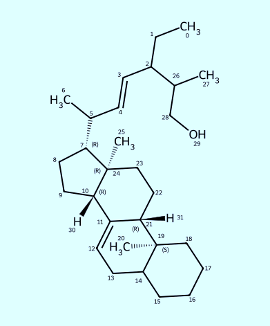 CCC(C=CC(C)[C@H]1CC[C@H]2C3=CCC4CCCC[C@]4(C)[C@H]3CC[C@]12C)C(C)CO